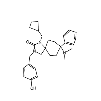 CN(C)C1(c2ccccc2)CCC2(CC1)CN(Cc1ccc(O)cc1)C(=O)N2CC1CCC1